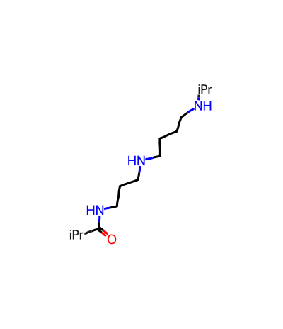 CC(C)NCCCCNCCCNC(=O)C(C)C